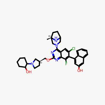 C[C@]12CCC(CN(c3nc(OC[C@H]4CCN(C5CCCCC5O)C4)nc4c(F)c(-c5cc(O)cc6ccccc56)c(Cl)cc34)C1)N2